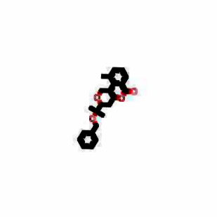 Cc1cccc2c(=O)oc3c(c12)COC(C(C)(C)OCc1ccccc1)C3